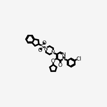 O=c1c(OC2CCCC2)c(N2CCN(S(=O)(=O)C3Cc4ccccc4C3)CC2)cnn1-c1cccc(Cl)c1